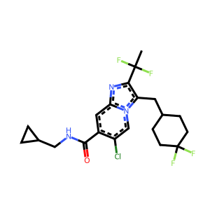 CC(F)(F)c1nc2cc(C(=O)NCC3CC3)c(Cl)cn2c1CC1CCC(F)(F)CC1